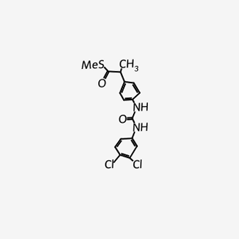 CSC(=O)C(C)c1ccc(NC(=O)Nc2ccc(Cl)c(Cl)c2)cc1